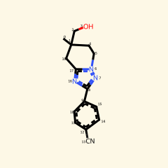 CC1(CO)CCn2nc(-c3ccc(C#N)cc3)nc2C1